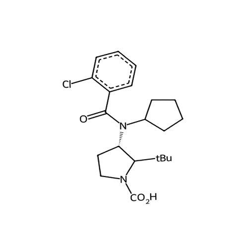 CC(C)(C)C1[C@@H](N(C(=O)c2ccccc2Cl)C2CCCC2)CCN1C(=O)O